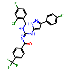 O=C(/N=C(/NCc1ccc(F)cc1Cl)Nc1cc(-c2ccc(Cl)cc2)n[nH]1)c1ccc(C(F)(F)F)cc1